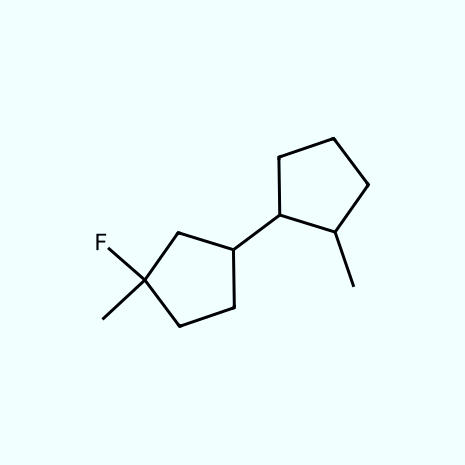 CC1CCCC1C1CCC(C)(F)C1